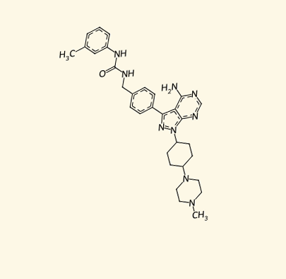 Cc1cccc(NC(=O)NCc2ccc(-c3nn(C4CCC(N5CCN(C)CC5)CC4)c4ncnc(N)c34)cc2)c1